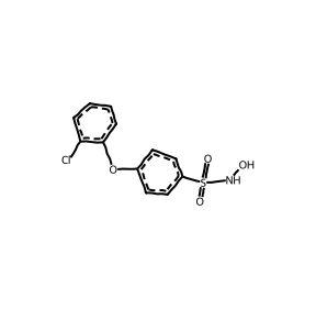 O=S(=O)(NO)c1ccc(Oc2ccccc2Cl)cc1